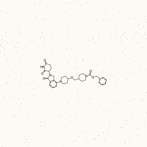 O=C1CCC(N2Cc3c(cccc3N3CCC(OCC4CCN(C(=O)OCc5ccccc5)CC4)CC3)C2=O)C(=O)N1